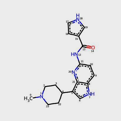 CN1CCC(c2c[nH]c3ccc(NC(=O)c4cc[nH]c4)nc23)CC1